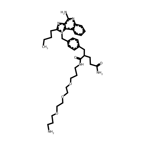 CCCCc1nc2c(N)nc3ccccc3c2n1Cc1ccc(CC(CCC(N)=O)C(=O)NCCCOCCOCCOCCCN)cc1